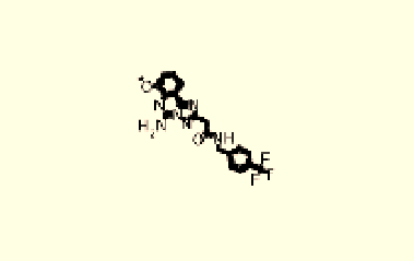 COc1cccc2c1nc(N)n1nc(CC(=O)NCc3ccc(C(F)(F)F)cc3)nc21